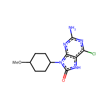 COC1CCC(n2c(=O)[nH]c3c(Cl)nc(N)nc32)CC1